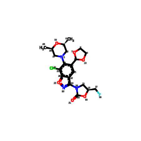 C[C@@H]1CN(c2c(C3OCCO3)cc3c(N4C[C@@H](CF)OC4=O)noc3c2Cl)C[C@@H](C)O1